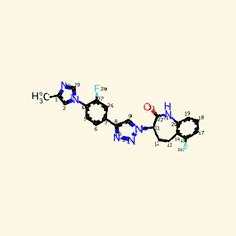 Cc1cn(-c2ccc(-c3cn(C4CCc5c(F)cccc5NC4=O)nn3)cc2F)cn1